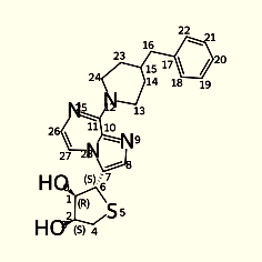 O[C@@H]1[C@H](O)CS[C@H]1c1cnc2c(N3CCC(Cc4ccccc4)CC3)nccn12